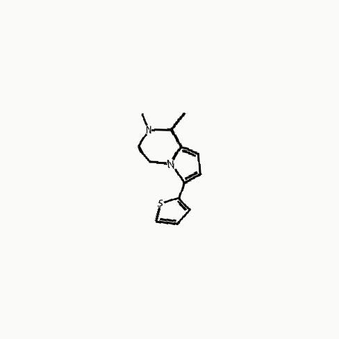 CC1c2ccc(-c3cccs3)n2CCN1C